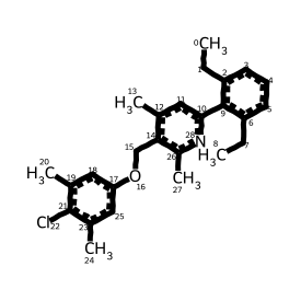 CCc1cccc(CC)c1-c1cc(C)c(COc2cc(C)c(Cl)c(C)c2)c(C)n1